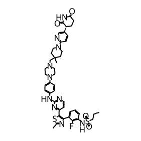 CCCS(=O)(=O)Nc1cccc(-c2nc(C)sc2-c2ccnc(Nc3ccc(N4CCN(CC5(C)CCN(c6ccc([C@@H]7CCC(=O)NC7=O)cn6)CC5)CC4)cc3)n2)c1F